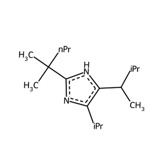 CCCC(C)(C)c1nc(C(C)C)c(C(C)C(C)C)[nH]1